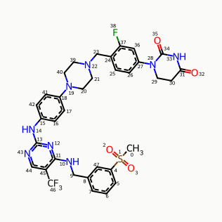 CS(=O)(=O)c1cccc(CNc2nc(Nc3ccc(N4CCN(Cc5ccc(N6CCC(=O)NC6=O)cc5F)CC4)cc3)ncc2C(F)(F)F)c1